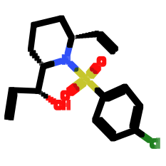 C=C[C@@H](O)[C@@H]1CCC[C@H](C=C)N1S(=O)(=O)c1ccc(Cl)cc1